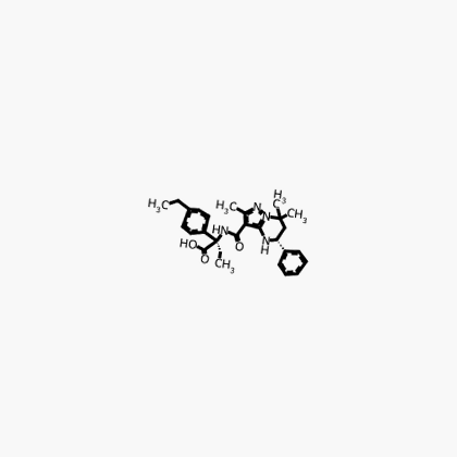 CCc1ccc([C@@](CC)(NC(=O)c2c(C)nn3c2N[C@@H](c2ccccc2)CC3(C)C)C(=O)O)cc1